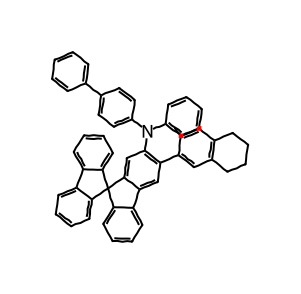 Cc1cc2c(cc1-c1cc3c(cc1N(c1ccccc1)c1ccc(-c4ccccc4)cc1)C1(c4ccccc4-c4ccccc41)c1ccccc1-3)CCCC2